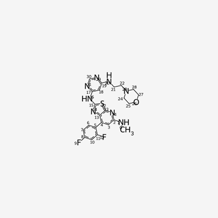 CNc1cc(-c2ccc(F)cc2F)c2nc(Nc3cc(NCCN4CCOCC4)ncn3)sc2n1